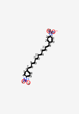 O=[N+]([O-])c1ccc(/C=C/C=C/C=C/C=C/C=C/C=C/c2ccc([N+](=O)[O-])cc2)cc1